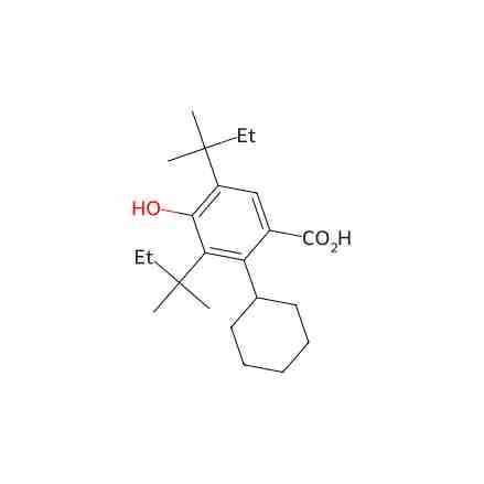 CCC(C)(C)c1cc(C(=O)O)c(C2CCCCC2)c(C(C)(C)CC)c1O